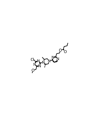 CCCC(=O)OCCc1nccc(N2CC(C)N(c3nc(Cl)nc(COC)n3)[C@H](C)C2)n1